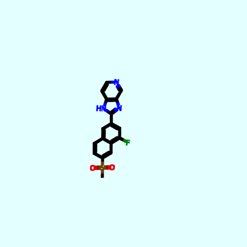 CS(=O)(=O)c1ccc2cc(-c3nc4cnccc4[nH]3)cc(F)c2c1